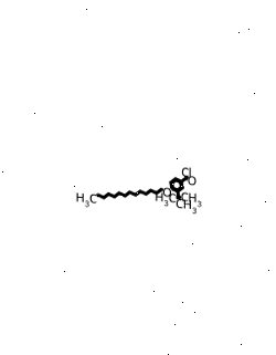 CCCCCCCCCCCCCCOc1ccc(C(=O)Cl)cc1C(C)(C)C